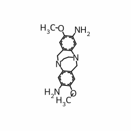 COc1cc2c(cc1N)N1CCN(C2)c2cc(N)c(OC)cc2C1